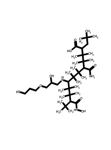 CC(C)(C)CC(C(=O)O)C(C)(C)C(C)(C)C(C(N)=O)C(C)(C)C(C)(C)C(NCC(O)COCCCS)C(C)(C)C(C)(C)C(C(=O)NO)C(C)(C)C